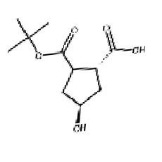 CC(C)(C)OC(=O)C1C[C@H](O)C[C@H]1C(=O)O